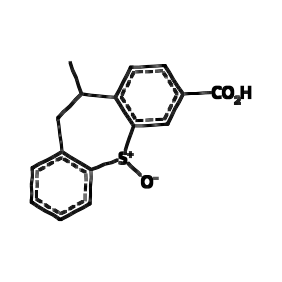 CC1Cc2ccccc2[S+]([O-])c2cc(C(=O)O)ccc21